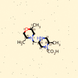 C[C@@H]1CO[C@@H](C)CN1C[C@H]1CN(C(=O)O)[C@H](C)CN1